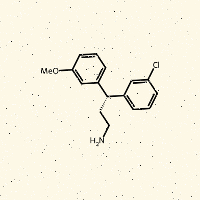 COc1cccc([C@@H](CCN)c2cccc(Cl)c2)c1